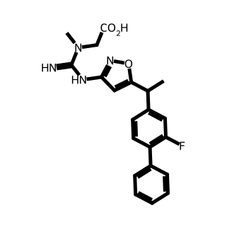 CC(c1ccc(-c2ccccc2)c(F)c1)c1cc(NC(=N)N(C)CC(=O)O)no1